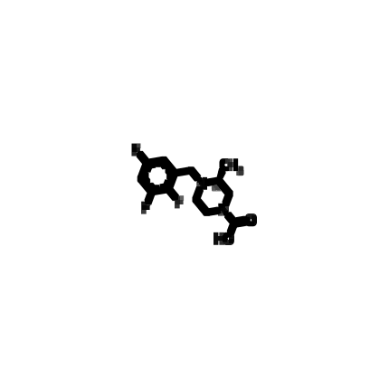 C[C@H]1CN(C(=O)O)CCN1Cc1cc(F)cc(F)c1F